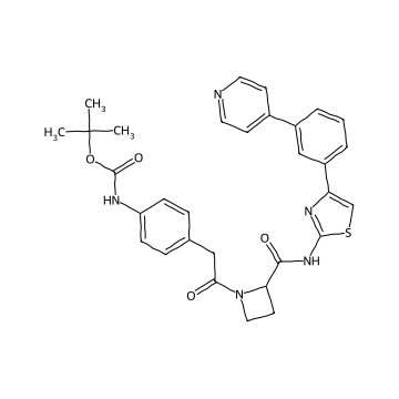 CC(C)(C)OC(=O)Nc1ccc(CC(=O)N2CCC2C(=O)Nc2nc(-c3cccc(-c4ccncc4)c3)cs2)cc1